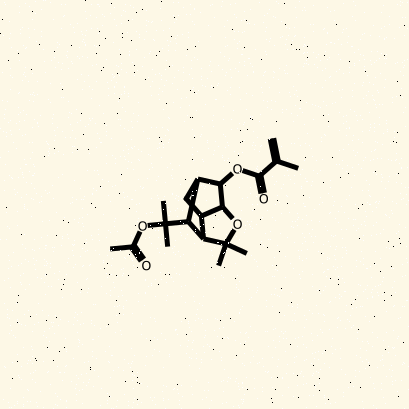 C=C(C)C(=O)OC1C2CC3C1OC(C)(C)C3C2C(C)(C)OC(C)=O